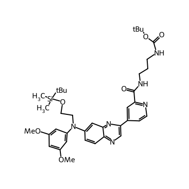 COc1cc(OC)cc(N(CCO[Si](C)(C)C(C)(C)C)c2ccc3ncc(-c4ccnc(C(=O)NCCCNC(=O)OC(C)(C)C)c4)nc3c2)c1